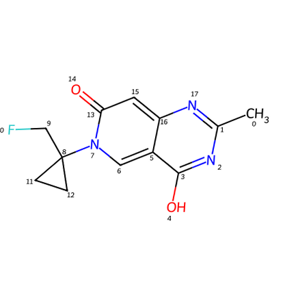 Cc1nc(O)c2cn(C3(CF)CC3)c(=O)cc2n1